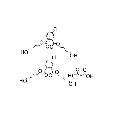 O=C(O)CC(=O)O.O=C(OCCCCO)c1ccc(Cl)cc1C(=O)OCCCCO.O=C(OCCCCO)c1ccc(Cl)cc1C(=O)OCCCCO